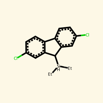 CC[SiH](CC)C1c2cc(Cl)ccc2-c2ccc(Cl)cc21